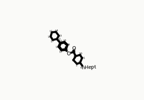 CCCCCCCC1CCC(C(=O)Oc2ccc(C3CCCCC3)cc2)CC1